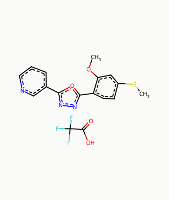 COc1cc(SC)ccc1-c1nnc(-c2cccnc2)o1.O=C(O)C(F)(F)F